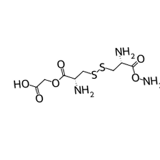 NOC(=O)[C@@H](N)CSSC[C@H](N)C(=O)OCC(=O)O